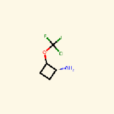 N[C@@H]1CCC1OC(F)(F)Cl